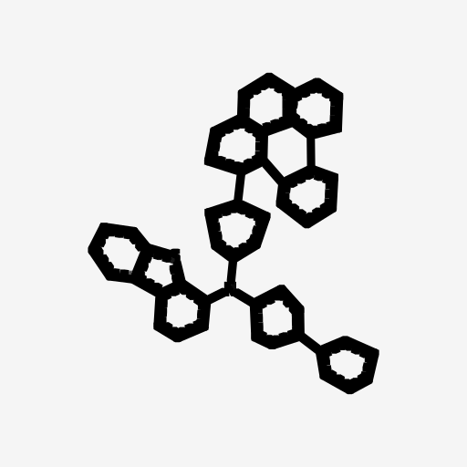 c1ccc(-c2ccc(N(c3ccc(-c4ccc5ccccc5c4-c4ccccc4-c4ccccc4)cc3)c3cccc4c3sc3ccccc34)cc2)cc1